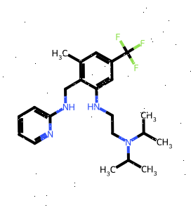 Cc1cc(C(F)(F)F)cc(NCCN(C(C)C)C(C)C)c1CNc1ccccn1